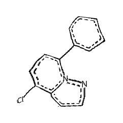 Clc1ccc(-c2ccccc2)n2nc[c]c12